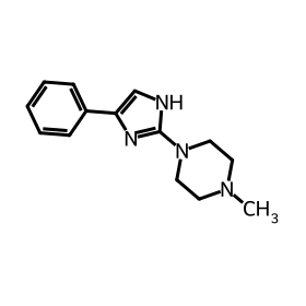 CN1CCN(c2nc(-c3ccccc3)c[nH]2)CC1